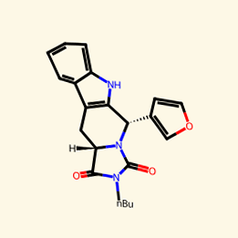 CCCCN1C(=O)[C@@H]2Cc3c([nH]c4ccccc34)[C@H](c3ccoc3)N2C1=O